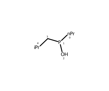 CCCP(O)CC(C)C